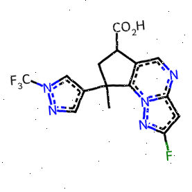 CC1(c2cnn(C(F)(F)F)c2)CC(C(=O)O)c2cnc3cc(F)nn3c21